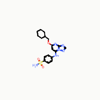 NS(=O)(=O)c1ccc(Nc2cc(OCC3CCCCC3)nc3ncnn23)cc1